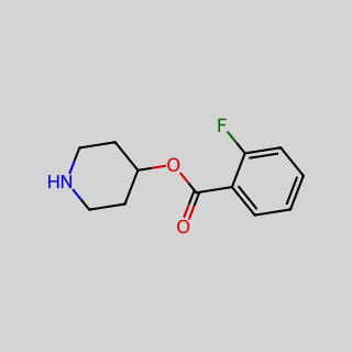 O=C(OC1CCNCC1)c1ccccc1F